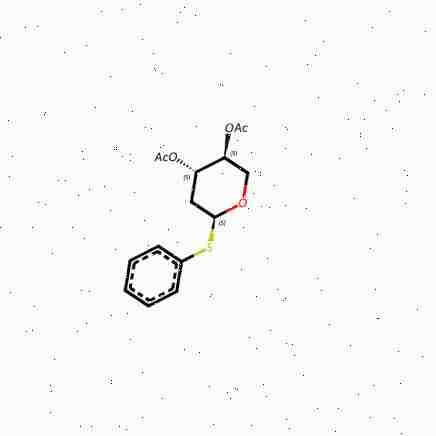 CC(=O)O[C@H]1CO[C@@H](Sc2ccccc2)C[C@@H]1OC(C)=O